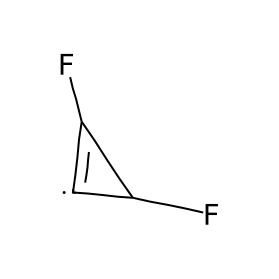 FC1=[C]C1F